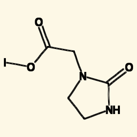 O=C(CN1CCNC1=O)OI